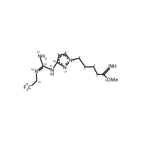 COC(=N)CCCCn1ccc(N/C(N)=N\CC(F)(F)F)n1